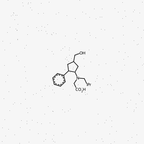 CC(C)CN(CC(=O)O)C1CC(CO)CC1c1ccccc1